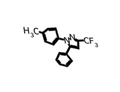 Cc1ccc(-n2nc(C(F)(F)F)cc2-c2ccccc2)cc1